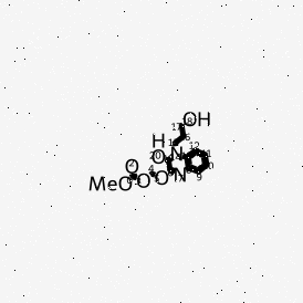 COC(=O)OCOC1=Nc2ccccc2N(CCCO)C1O